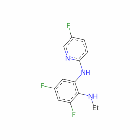 CCNc1c(F)cc(F)cc1Nc1ccc(F)cn1